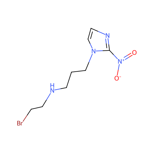 O=[N+]([O-])c1nccn1CCCNCCBr